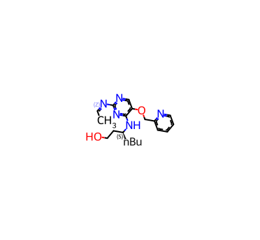 C/C=N\c1ncc(OCc2ccccn2)c(N[C@H](CCO)CCCC)n1